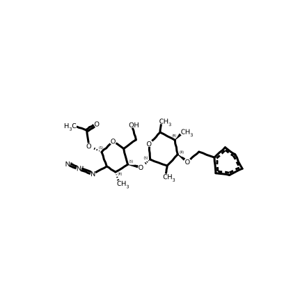 CC(=O)O[C@@H]1OC(CO)[C@@H](O[C@@H]2OC(C)[C@@H](C)[C@@H](OCc3ccccc3)C2C)[C@H](C)C1N=[N+]=[N-]